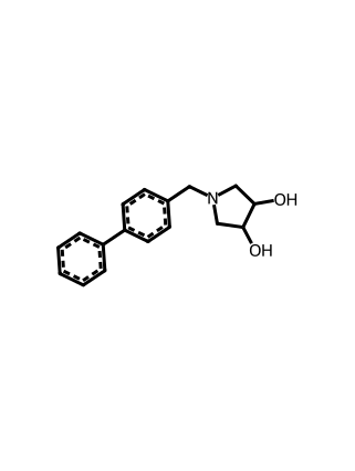 OC1CN(Cc2ccc(-c3ccccc3)cc2)CC1O